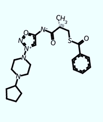 C[C@H](CSC(=O)c1ccccc1)C(=O)[N-]c1c[n+](N2CCN(C3CCCC3)CC2)no1